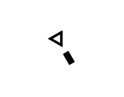 C#C.C1CC1